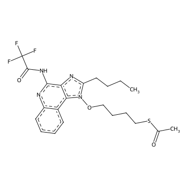 CCCCc1nc2c(NC(=O)C(F)(F)F)nc3ccccc3c2n1OCCCCSC(C)=O